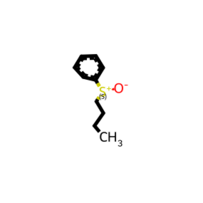 CCCC[S@@+]([O-])c1ccccc1